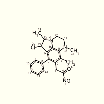 Cc1c(CC(=O)N=O)c(-c2ccccc2)c2c3c1N(C)CCN3C(C)C2Cl